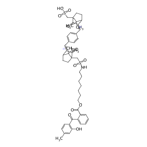 Cc1ccc(C(=O)c2ccccc2C(=O)OCCCCCCCNS(=O)(=O)CC23CCC(/C(=C/c4ccc(/C=C5\C(=O)C6(CS(=O)(=O)O)CCC5C6(C)C)cc4)C2=O)C3(C)C)c(O)c1